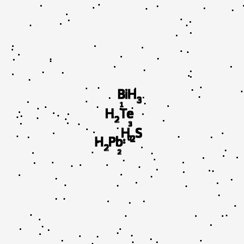 S.[BiH3].[PbH2].[TeH2]